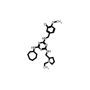 CCN1CCCC1CNc1nc(NCc2ccc(OC)c(Cl)c2)nc(NC2CCCCCC2)n1